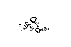 CC(C)(C)c1ccccc1[I+]c1ccccc1.O=S(=O)([O-])C(F)(F)F